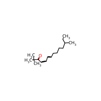 CCC(C)CCCC/C=C/C=C\C(=O)C(C)(C)C